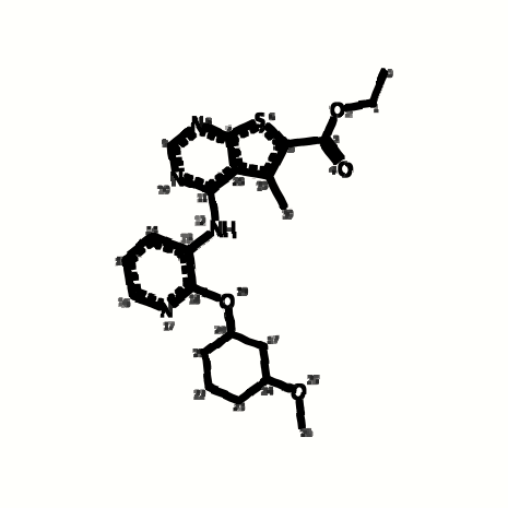 CCOC(=O)c1sc2ncnc(Nc3cccnc3OC3CCCC(OC)C3)c2c1C